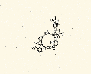 C=CC(=O)N1CCN(C(=O)N(C)[C@H](C(=O)N[C@H]2Cc3nc(cs3)-c3ccc4c(c3)c(c(-c3cccnc3[C@H](C)OC)n4CC)CC(C)(C)COC(=O)[C@@H]3CCCN(N3)C2=O)C(C)C)[C@H]2C[C@H]21